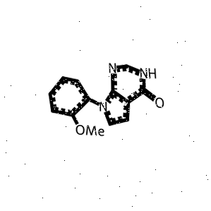 COc1ccccc1-n1ccc2c(=O)[nH]cnc21